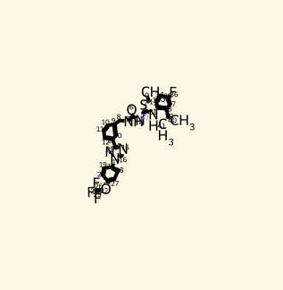 CCS/C(=N\C(=O)NCc1cccc(-c2ncn(-c3ccc(OC(F)(F)F)cc3)n2)c1)Nc1ccc(F)cc1C(C)C